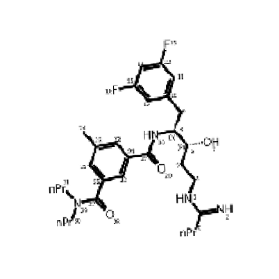 CCCC(=N)NCC[C@@H](O)[C@H](Cc1cc(F)cc(F)c1)NC(=O)c1cc(C)cc(C(=O)N(CCC)CCC)c1